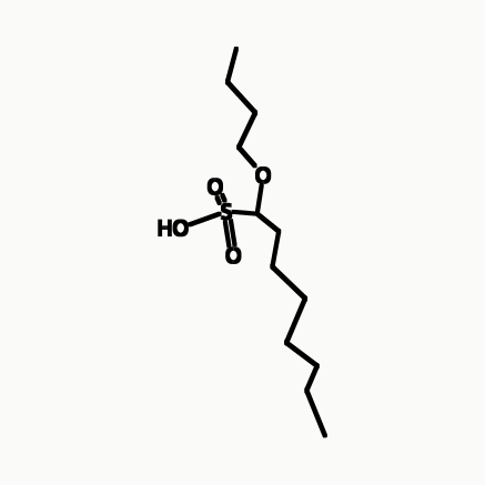 CCCCCCCC(OCCCC)S(=O)(=O)O